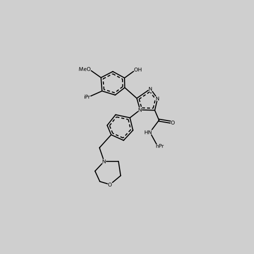 CCCNC(=O)c1nnc(-c2cc(C(C)C)c(OC)cc2O)n1-c1ccc(CN2CCOCC2)cc1